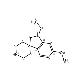 CCN1CC2(CCNCC2)c2ccc(OC)cc21